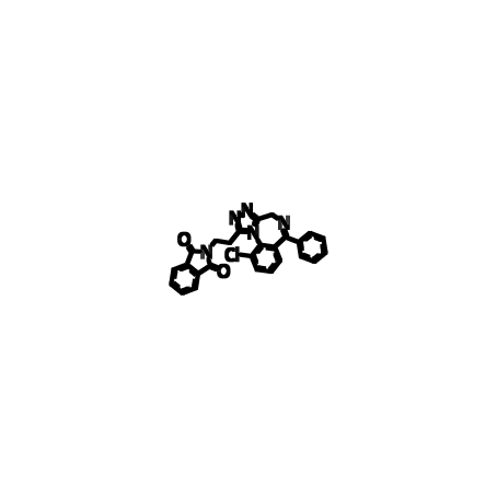 O=C1c2ccccc2C(=O)N1CCc1nnc2n1-c1c(Cl)cccc1C(c1ccccc1)=NC2